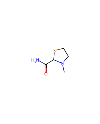 CN1CCSC1C(N)=O